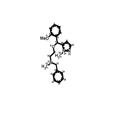 COc1ccccc1C(OCCN(C)Cc1ccccc1)c1ccnn1C